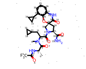 C[C@H](NC(=O)C(F)(F)F)C(=O)N(C)C(CC1CC1)C(=O)N1C[C@@]2(C[C@H]1C(N)=O)Oc1c(cccc1C1CC1)NC2=O